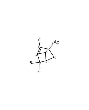 CC(=O)C1CC2CC(=C1C)C2(C)C